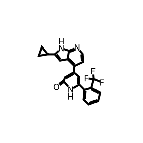 O=c1cc(-c2ccnc3[nH]c(C4CC4)cc23)cc(-c2ccccc2C(F)(F)F)[nH]1